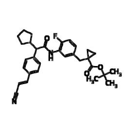 CC(C)(C)OC(=O)C1(Cc2ccc(F)c(NC(=O)C(c3ccc(C=CC#N)cc3)C3CCCC3)c2)CC1